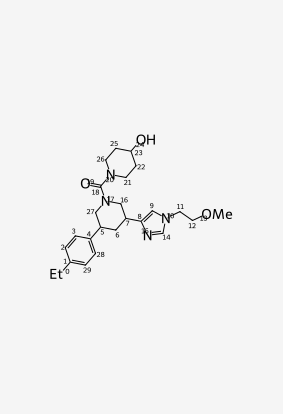 CCc1ccc(C2CC(c3cn(CCOC)cn3)CN(C(=O)N3CCC(O)CC3)C2)cc1